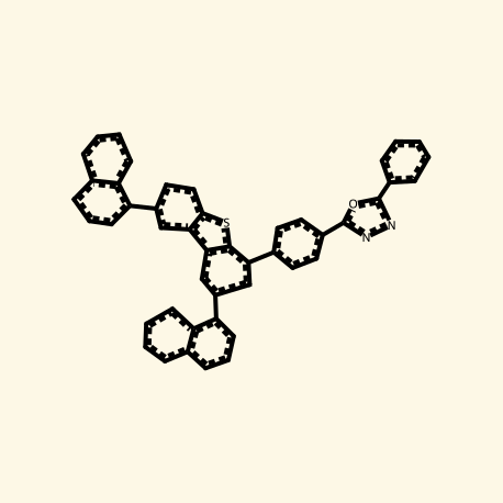 c1ccc(-c2nnc(-c3ccc(-c4cc(-c5cccc6ccccc56)cc5c4sc4ccc(-c6cccc7ccccc67)cc45)cc3)o2)cc1